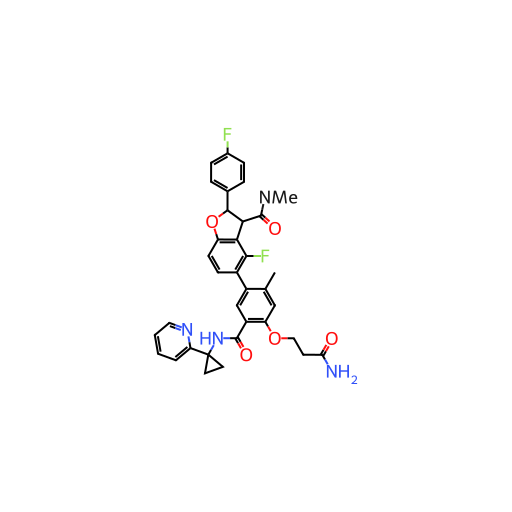 CNC(=O)C1c2c(ccc(-c3cc(C(=O)NC4(c5ccccn5)CC4)c(OCCC(N)=O)cc3C)c2F)OC1c1ccc(F)cc1